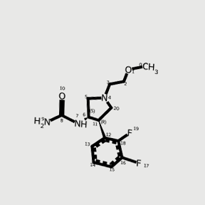 COCCN1C[C@@H](NC(N)=O)[C@H](c2cccc(F)c2F)C1